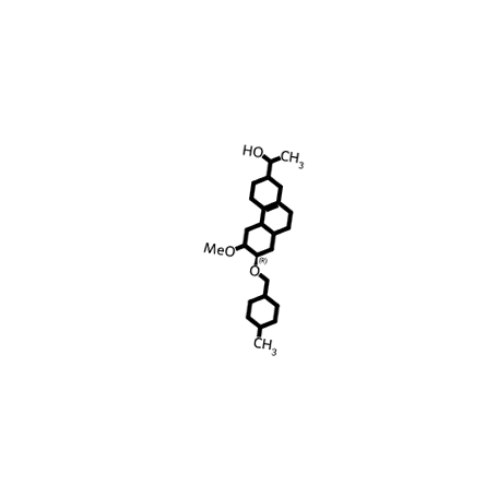 COC1CC2C3=C(CCC2C[C@H]1OCC1CCC(C)CC1)CC(C(C)O)CC3